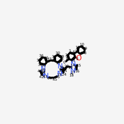 Cc1ccc2c(oc3ccccc32)c1N1C=CN(C)C1CCC1N2C=CN1c1ccccc1Cc1ccccc1N1C=CN(CCC2)C1